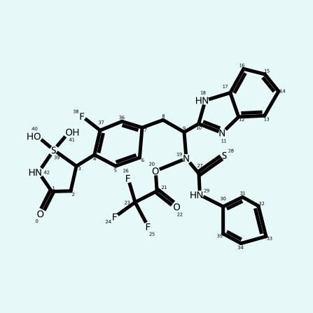 O=C1CC(c2ccc(CC(c3nc4ccccc4[nH]3)N(OC(=O)C(F)(F)F)C(=S)Nc3ccccc3)cc2F)S(O)(O)N1